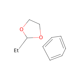 CCC1OCCO1.c1ccccc1